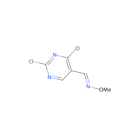 CO/N=C/c1cnc(Cl)nc1Cl